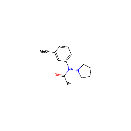 COc1cccc([N+](C(=O)C(C)C)N2CCCC2)c1